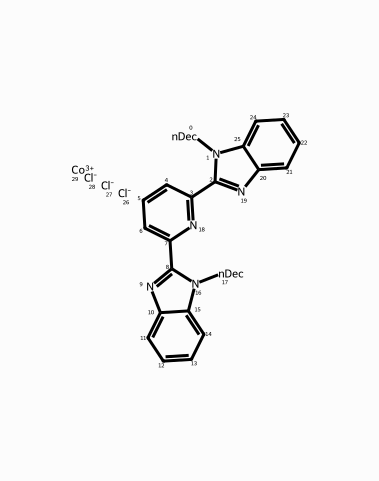 CCCCCCCCCCn1c(-c2cccc(-c3nc4ccccc4n3CCCCCCCCCC)n2)nc2ccccc21.[Cl-].[Cl-].[Cl-].[Co+3]